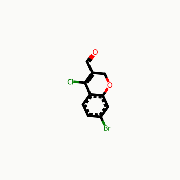 O=CC1=C(Cl)c2ccc(Br)cc2OC1